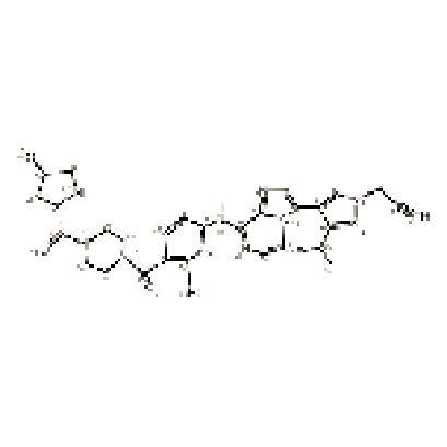 C#CCn1cc(-c2cnc3c(Nc4ccc(C(=O)N5CCN(C(=O)[C@@H]6C[C@@H](O)CN6)CC5)c(CC)c4)nccn23)c(C(F)F)n1